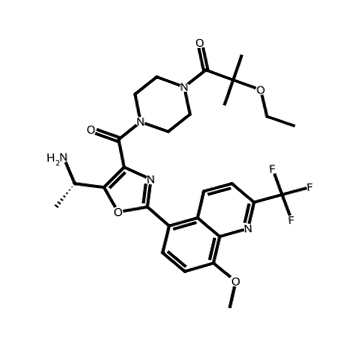 CCOC(C)(C)C(=O)N1CCN(C(=O)c2nc(-c3ccc(OC)c4nc(C(F)(F)F)ccc34)oc2[C@H](C)N)CC1